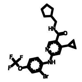 O=C(NCC1CCCC1)c1cnc(Nc2ccc(OC(F)(F)F)cc2Br)cc1C1CC1